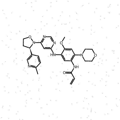 C=CC(=O)Nc1cc(Nc2cc(N3OCC[C@@H]3c3ccc(C)nc3)ncn2)c(OC)cc1N1CCOCC1